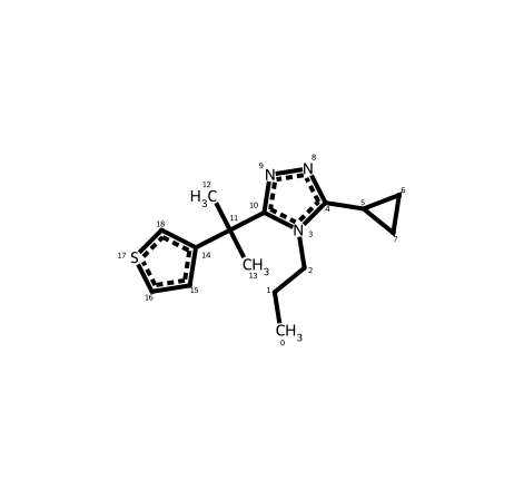 CCCn1c(C2CC2)nnc1C(C)(C)c1ccsc1